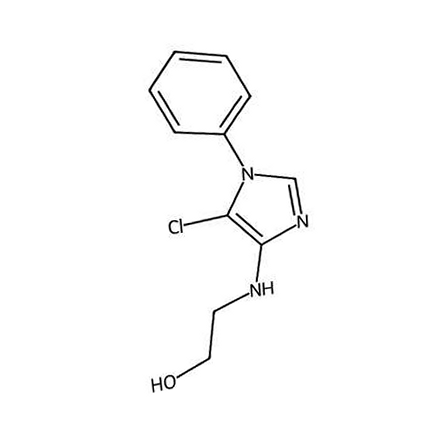 OCCNc1ncn(-c2ccccc2)c1Cl